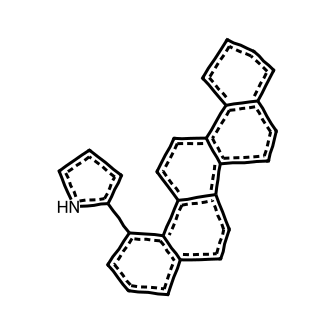 c1c[nH]c(-c2cccc3ccc4c5ccc6ccccc6c5ccc4c23)c1